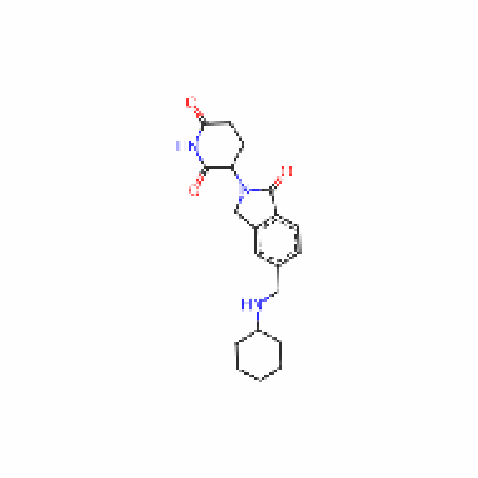 O=C1CCC(N2Cc3cc(CNC4CCCCC4)ccc3C2=O)C(=O)N1